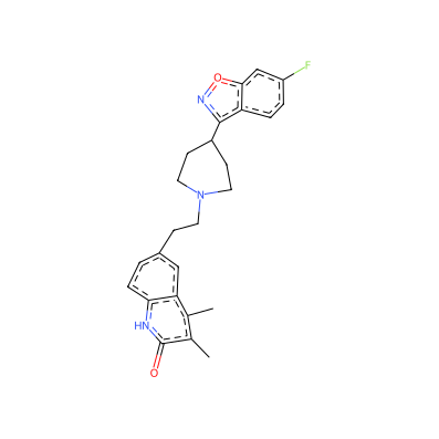 Cc1c(C)c2cc(CCN3CCC(c4noc5cc(F)ccc45)CC3)ccc2[nH]c1=O